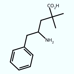 CC(C)(CC(N)Cc1ccccc1)C(=O)O